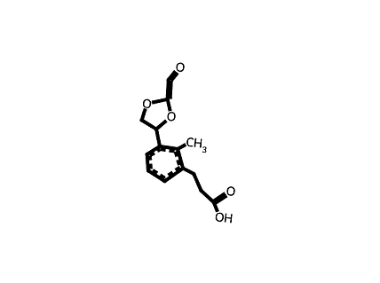 Cc1c(CCC(=O)O)cccc1C1COC(=C=O)O1